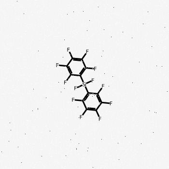 Fc1c(F)c(F)c([Si](F)(F)c2c(F)c(F)c(F)c(F)c2F)c(F)c1F